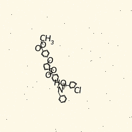 CCOC(=O)c1ccc(Oc2cccc(S(=O)(=O)c3ccc(CCN(Cc4ccccc4)C[C@H](O)c4cccc(Cl)c4)cc3)c2)cc1